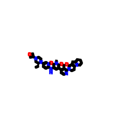 CC[C@H]1CN(C2COC2)CCN1c1ccc(Nc2cc(-c3ccnc(N4CCc5c(cc6n5CCCC6)C4=O)c3C=O)cn(C)c2=O)nc1